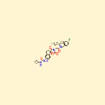 CC(N(Cc1ccc(F)cc1)C(=O)CN1C(=O)O[C@@]2(CCc3cc(NC(=O)NC4CCC4)ccc32)C1=O)C(F)(F)F